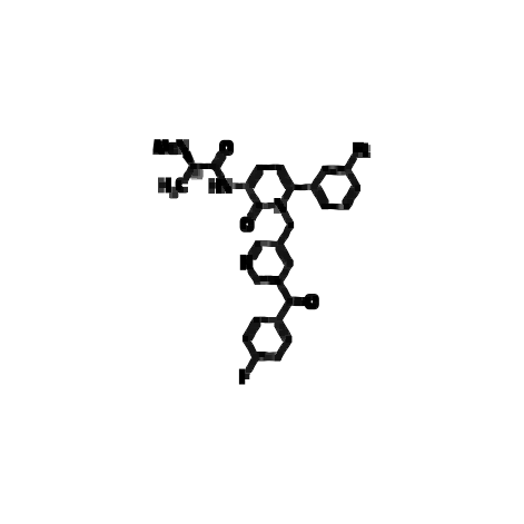 CCc1cccc(-c2ccc(NC(=O)[C@@H](C)NC)c(=O)n2Cc2cncc(C(=O)c3ccc(F)cc3)c2)c1